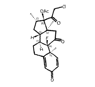 CC(=O)O[C@]1(C(=O)CCl)[C@@H](C)C[C@H]2[C@@H]3CCC4=CC(=O)C=C[C@]4(C)[C@@]3(F)C(=O)C[C@@]21C